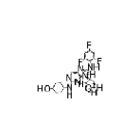 [2H]C1OC([2H])([2H])CC1([2H])n1c(Nc2c(F)cc(F)cc2F)nc2cnc(NC3CCC(O)CC3)nc21